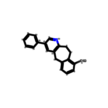 O=Cc1cccc2c1CCc1ncc(-c3ccccc3)cc1C2